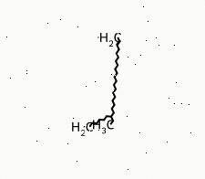 [CH2]C=CCCCCCCCCCCCCCCCCCC(CC)CCCCC[CH2]